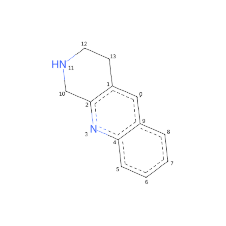 [c]1c2c(nc3ccccc13)CNCC2